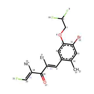 CC/C(=C\c1cc(OCC(F)F)c(Br)cc1C)C(=O)/C(C#N)=C/F